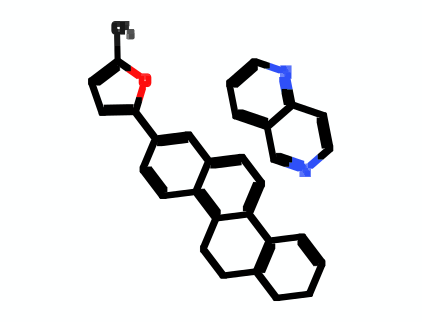 FC(F)(F)c1ccc(-c2ccc3c4c(ccc3c2)C2=C(CCC=C2)CC4)o1.c1cnc2ccncc2c1